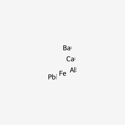 [Al].[Ba].[Ca].[Fe].[Pb]